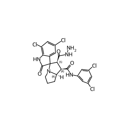 NNC(=O)[C@H]1[C@@H](C(=O)Nc2cc(Cl)cc(Cl)c2)[C@H]2CCCN2C12C(=O)Nc1c(Cl)cc(Cl)cc12